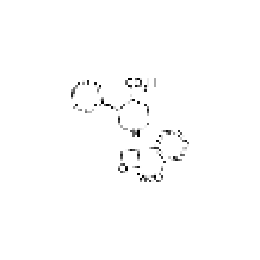 COc1ccccc1C1(N2CC[C@@H](C(=O)O)[C@H](c3ccccc3)C2)COC1